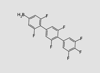 Bc1cc(F)c(-c2cc(F)c(-c3cc(F)c(F)c(F)c3)c(F)c2)c(F)c1